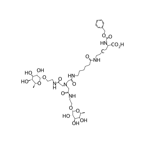 C[C@@H]1O[C@@H](OCCNC(=O)CN(CC(=O)NCCCCCC(=O)NCCCCC(NC(=O)OCc2ccccc2)C(=O)O)CC(=O)NCCO[C@@H]2O[C@@H](C)[C@@H](O)[C@@H](O)[C@@H]2O)[C@@H](O)[C@H](O)[C@@H]1O